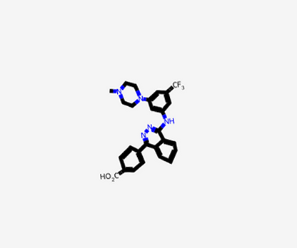 CN1CCN(c2cc(Nc3nnc(-c4ccc(C(=O)O)cc4)c4ccccc34)cc(C(F)(F)F)c2)CC1